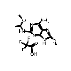 COc1nc2c(N)nc(NC(C)OC)nc2[nH]1.O=C(O)C(F)(F)F